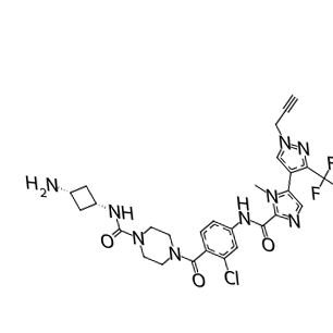 C#CCn1cc(-c2cnc(C(=O)Nc3ccc(C(=O)N4CCN(C(=O)N[C@H]5C[C@@H](N)C5)CC4)c(Cl)c3)n2C)c(C(F)(F)F)n1